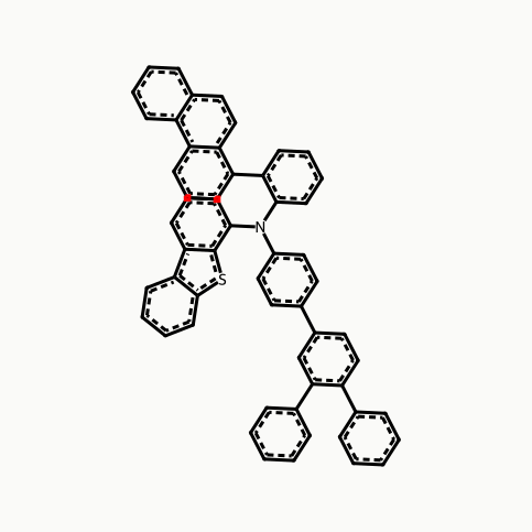 c1ccc(-c2ccc(-c3ccc(N(c4ccccc4-c4cccc5c4ccc4ccccc45)c4cccc5c4sc4ccccc45)cc3)cc2-c2ccccc2)cc1